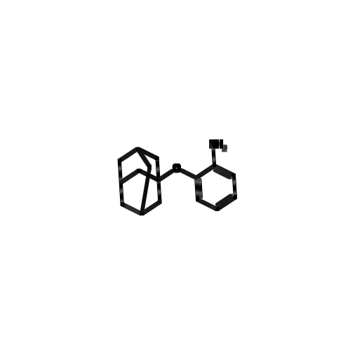 Nc1ccccc1OC12CC3CC(CC(C3)C1)C2